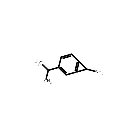 CC(C)c1ccc2c(c1)C2N